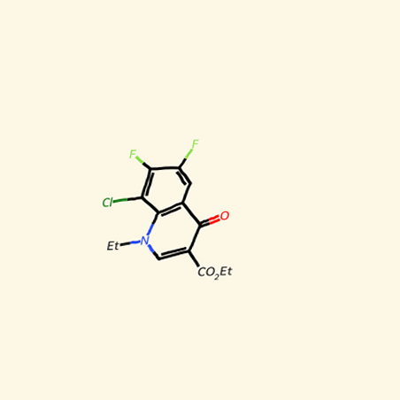 CCOC(=O)c1cn(CC)c2c(Cl)c(F)c(F)cc2c1=O